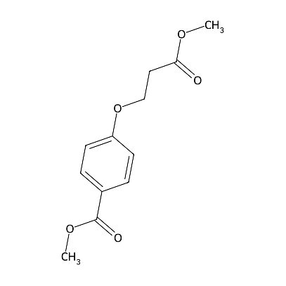 COC(=O)CCOc1ccc(C(=O)OC)cc1